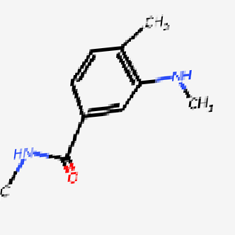 CNC(=O)c1ccc(C)c(NC)c1